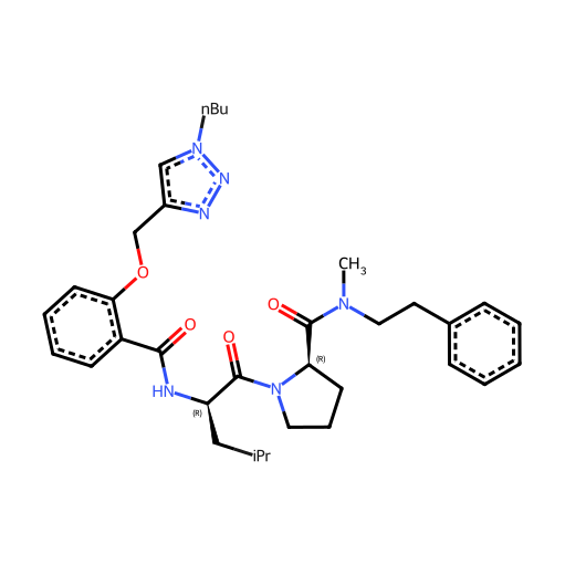 CCCCn1cc(COc2ccccc2C(=O)N[C@H](CC(C)C)C(=O)N2CCC[C@@H]2C(=O)N(C)CCc2ccccc2)nn1